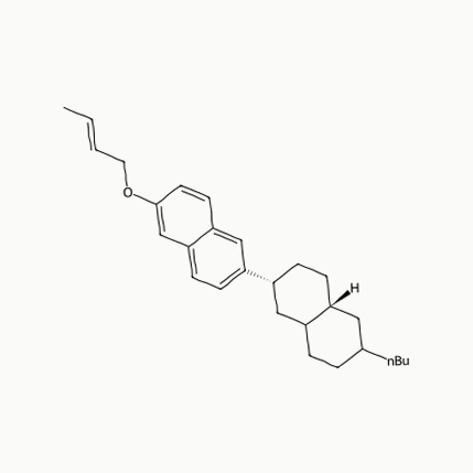 C/C=C/COc1ccc2cc([C@@H]3CC[C@@H]4CC(CCCC)CCC4C3)ccc2c1